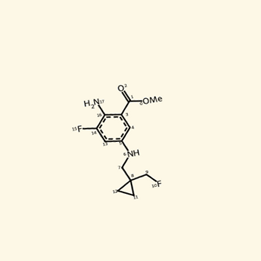 COC(=O)c1cc(NCC2(CF)CC2)cc(F)c1N